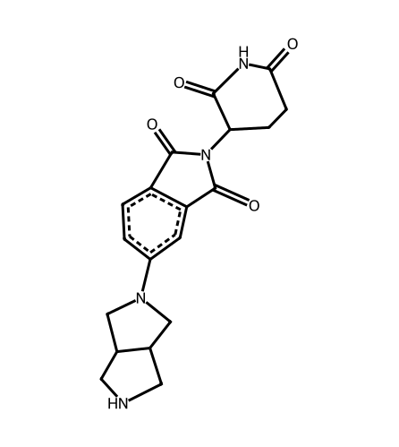 O=C1CCC(N2C(=O)c3ccc(N4CC5CNCC5C4)cc3C2=O)C(=O)N1